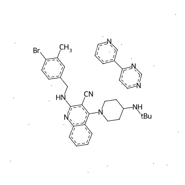 Cc1cc(CNc2nc3ccccc3c(N3CCC(NC(C)(C)C)CC3)c2C#N)ccc1Br.c1cncc(-c2ccncn2)c1